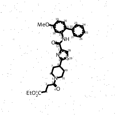 CCOC(=O)CCC(=O)N1CCC(c2nc(C(=O)Nc3cc(OC)ccc3-c3ccccc3)cs2)CC1